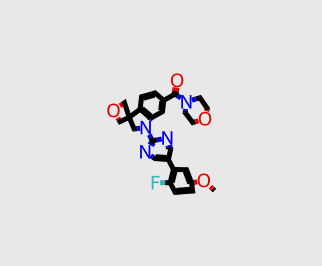 COc1ccc(F)c(-c2cnc(N3CC4(COC4)c4ccc(C(=O)N5CCOCC5)cc43)nc2)c1